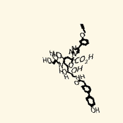 C#CCOc1cccc(-c2cn([C@]3(C(=O)O)C[C@H](O)[C@@H](NC(=O)CO)[C@H]([C@H](O)[C@H](O)CNC(=O)Cc4ccc(-c5ccc(O)cc5)cc4)O3)nn2)c1